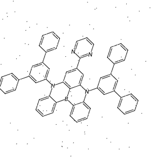 c1ccc(-c2cc(-c3ccccc3)cc(N3c4ccccc4B4c5ccccc5N(c5cc(-c6ccccc6)cc(-c6ccccc6)c5)c5cc(-c6ncccn6)cc3c54)c2)cc1